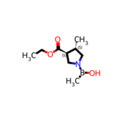 CCOC(=O)[C@@H]1CN(B(C)O)C[C@H]1C